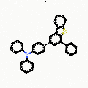 c1ccc(-c2cc(-c3ccc(N(c4ccccc4)c4ccccc4)cc3)cc3c2sc2ccccc23)cc1